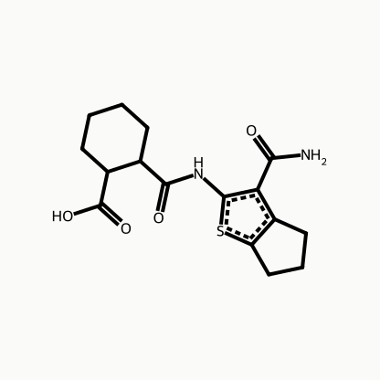 NC(=O)c1c(NC(=O)C2CCCCC2C(=O)O)sc2c1CCC2